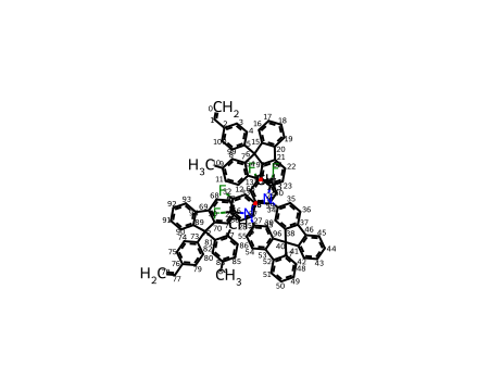 C=Cc1ccc(C2(c3cc(C)ccc3C)c3ccccc3-c3ccc(N(c4ccc(F)c(F)c4)c4ccc5c(c4)C4(c6ccccc6-5)c5ccccc5-c5ccc(N(c6ccc(F)c(F)c6)c6ccc7c(c6)C(c6ccc(C=C)cc6)(c6cc(C)ccc6C)c6ccccc6-7)cc54)cc32)cc1